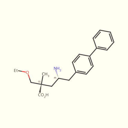 CCOC[C@](C)(C[C@H](N)Cc1ccc(-c2ccccc2)cc1)C(=O)O